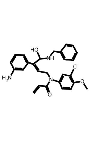 C=CC(=O)N(CC=C(c1cccc(N)c1)C(O)NCc1ccccc1)c1ccc(OC)c(Cl)c1